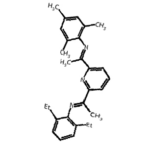 CCc1cccc(CC)c1/N=C(\C)c1cccc(/C(C)=N/c2c(C)cc(C)cc2C)n1